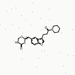 O=C1NCO/C(=C/c2ccc3occ(CCC(=O)N4CCCCC4)c3c2)S1